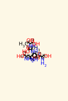 CC(N)C(=O)O.CC(O)C(N)C(=O)O.NC(CO)C(=O)O.NC(Cc1c[nH]c2ccccc12)C(=O)O